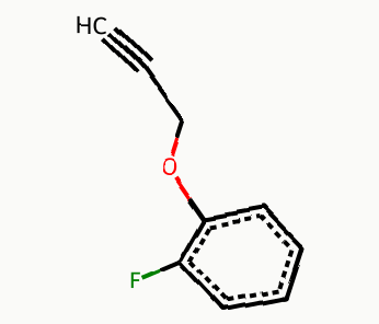 C#CCOc1ccccc1F